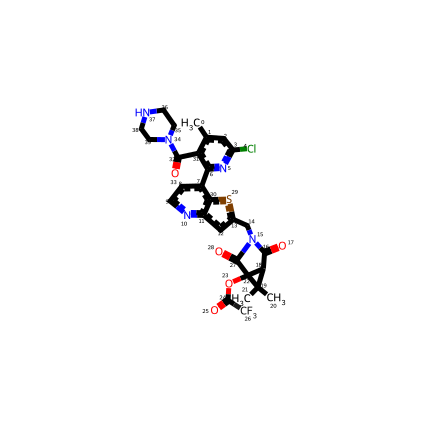 Cc1cc(Cl)nc(-c2ccnc3cc(CN4C(=O)C5C(C)(C)C5(OC(=O)C(F)(F)F)C4=O)sc23)c1C(=O)N1CCNCC1